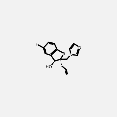 C=CC[C@@]1(Cn2ccnc2)Sc2ccc(F)cc2[C@@H]1O